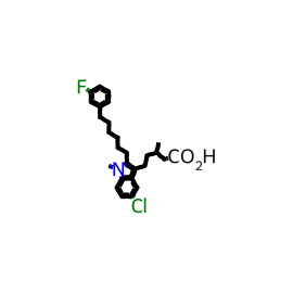 CC(CCc1c(CCCCCCc2cccc(F)c2)n(C)c2ccc(Cl)cc12)CC(=O)O